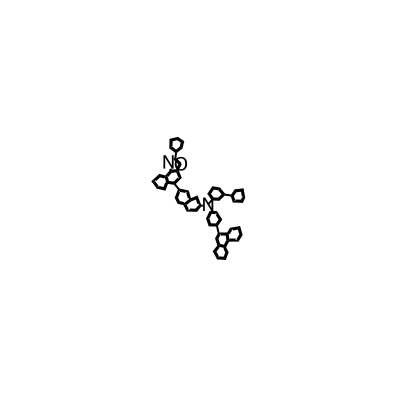 c1ccc(-c2cccc(N(c3ccc(-c4cc5ccccc5c5ccccc45)cc3)c3ccc4ccc(-c5cc6oc(-c7ccccc7)nc6c6ccccc56)cc4c3)c2)cc1